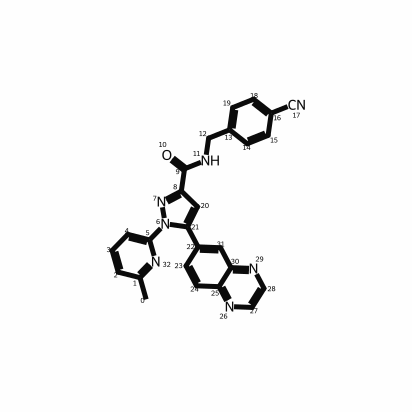 Cc1cccc(-n2nc(C(=O)NCc3ccc(C#N)cc3)cc2-c2ccc3nccnc3c2)n1